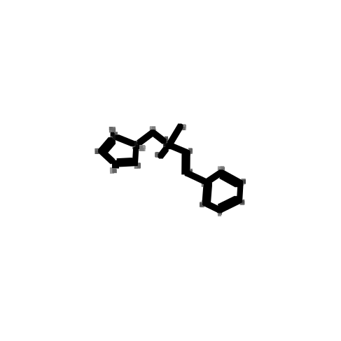 C[Si](C)(C=Cc1ccccc1)Cn1cncn1